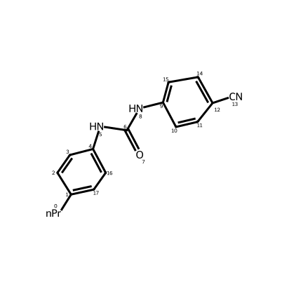 CCCc1ccc(NC(=O)Nc2ccc(C#N)cc2)cc1